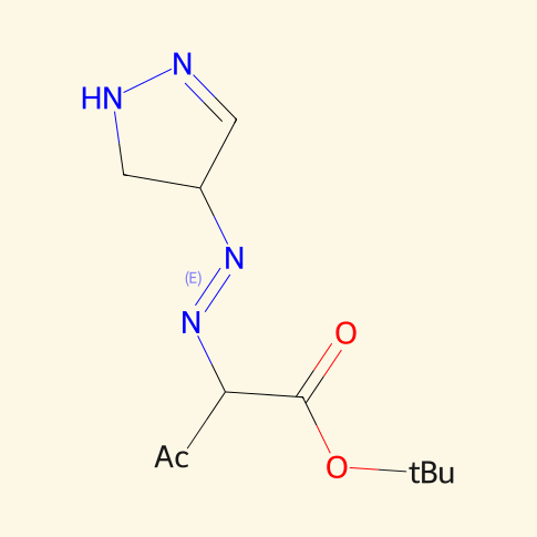 CC(=O)C(/N=N/C1C=NNC1)C(=O)OC(C)(C)C